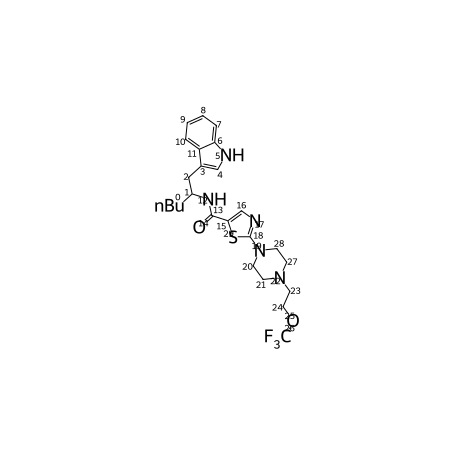 CCCCC(Cc1c[nH]c2ccccc12)NC(=O)c1cnc(N2CCN(CCOC(F)(F)F)CC2)s1